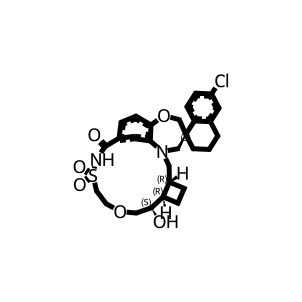 O=C1NS(=O)(=O)CCOC[C@@H](O)[C@@H]2CC[C@H]2CN2C[C@@]3(CCCc4cc(Cl)ccc43)COc3ccc1cc32